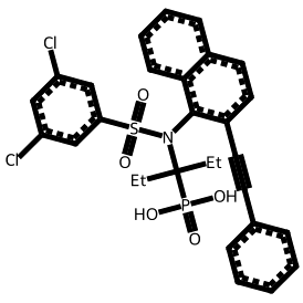 CCC(CC)(N(c1c(C#Cc2ccccc2)ccc2ccccc12)S(=O)(=O)c1cc(Cl)cc(Cl)c1)P(=O)(O)O